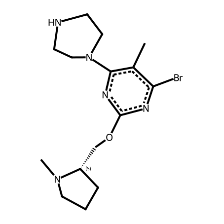 Cc1c(Br)nc(OC[C@@H]2CCCN2C)nc1N1CCNCC1